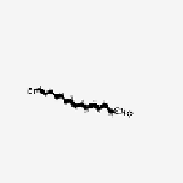 CCC=CCC=CCC=CCCCCCCC=O